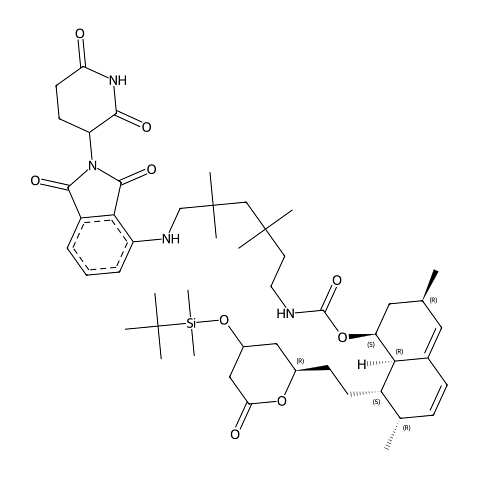 C[C@H]1C=C2C=C[C@H](C)[C@H](CC[C@@H]3CC(O[Si](C)(C)C(C)(C)C)CC(=O)O3)[C@H]2[C@@H](OC(=O)NCCC(C)(C)CC(C)(C)CNc2cccc3c2C(=O)N(C2CCC(=O)NC2=O)C3=O)C1